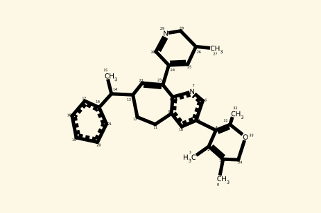 CC1=C(C)C(c2cnc3c(c2)CCC(C(C)c2ccccc2)C=C3C2=CC(C)CN=C2)=C(C)OC1